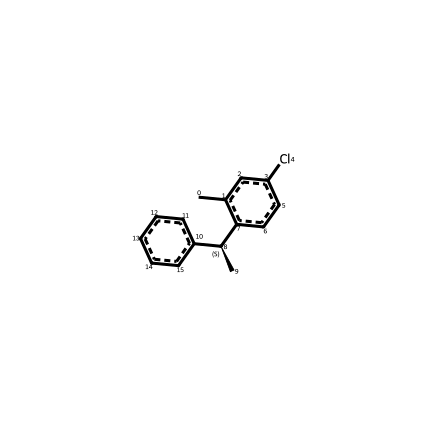 Cc1cc(Cl)ccc1[C@@H](C)c1ccccc1